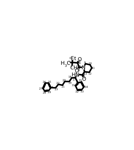 CCC(C)(C)C(=O)C(=O)N1CCCCC1C(=O)NC(CCCCCCc1ccccc1)c1ccccc1